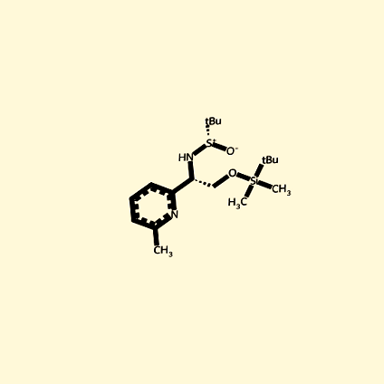 Cc1cccc([C@@H](CO[Si](C)(C)C(C)(C)C)N[S@@+]([O-])C(C)(C)C)n1